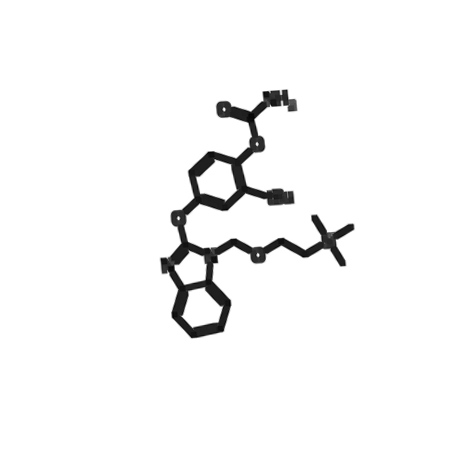 CC(C)(C)c1cc(Oc2nc3ccccc3n2COCC[Si](C)(C)C)ccc1OC(N)=O